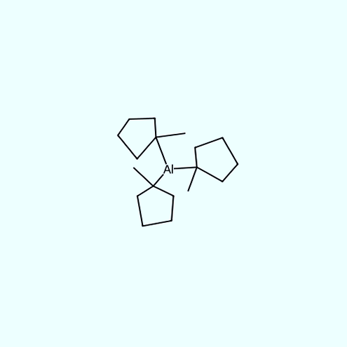 C[C]1([Al]([C]2(C)CCCC2)[C]2(C)CCCC2)CCCC1